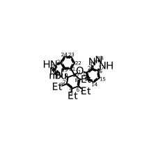 CCCCC1C(CC)=C(CC)C(CC)=C(CC)C1(Oc1cccc2[nH]nnc12)c1cccc2[nH]nnc12